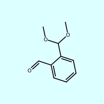 COC(OC)c1ccccc1C=O